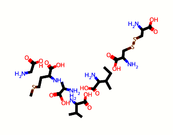 CC(C)C(N)C(=O)O.CC(N)C(=O)O.CCC(C)C(N)C(=O)O.CSCCC(N)C(=O)O.NC(CSSCC(N)C(=O)O)C(=O)O.NCC(=O)O